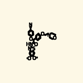 COc1cc2nc(NC(=O)C(Oc3ccc(C#N)cc3)c3ccc(OCCN4CCOCC4)cc3)sc2cc1OC